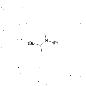 CC(C)N(C)C(C)C(C)(C)C